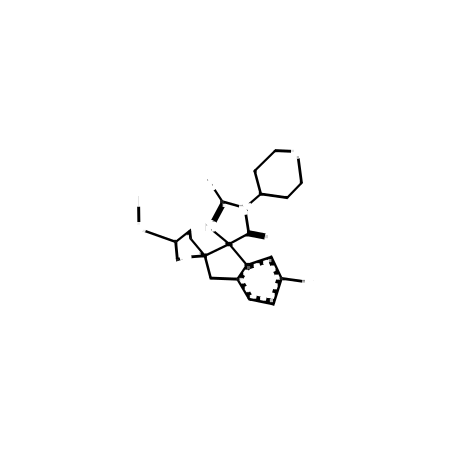 NC1=NC2(C(=O)N1C1CCOCC1)c1cc(Br)ccc1CC21CCC(OI)CC1